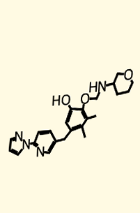 Cc1c(Cc2ccc(-n3cccn3)nc2)cc(O)c(OCNC2CCCOC2)c1C